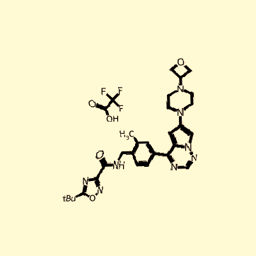 Cc1cc(-c2ncnn3cc(N4CCN(C5COC5)CC4)cc23)ccc1CNC(=O)c1noc(C(C)(C)C)n1.O=C(O)C(F)(F)F